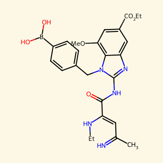 CCN/C(=C\C(C)=N)C(=O)Nc1nc2cc(C(=O)OCC)cc(OC)c2n1Cc1ccc(B(O)O)cc1